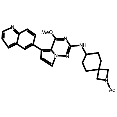 COc1nc(NC2CCC3(CC2)CN(C(C)=O)C3)nn2ccc(-c3ccc4ncccc4c3)c12